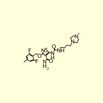 Cc1cc(F)c(COc2nsc(NC(=O)NCCCCN3CCN(C)CC3)c2C(N)=O)c(F)c1